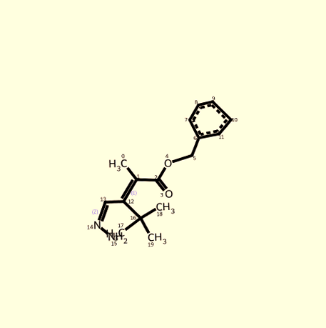 C/C(C(=O)OCc1ccccc1)=C(\C=N/N)C(C)(C)C